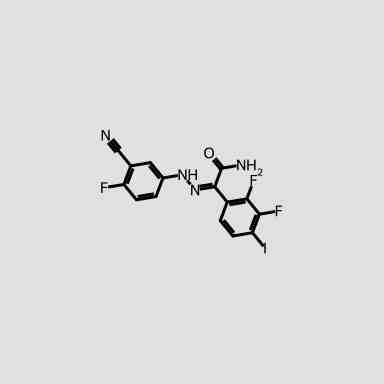 N#Cc1cc(NN=C(C(N)=O)c2ccc(I)c(F)c2F)ccc1F